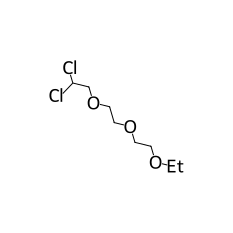 CCOCCOCCOCC(Cl)Cl